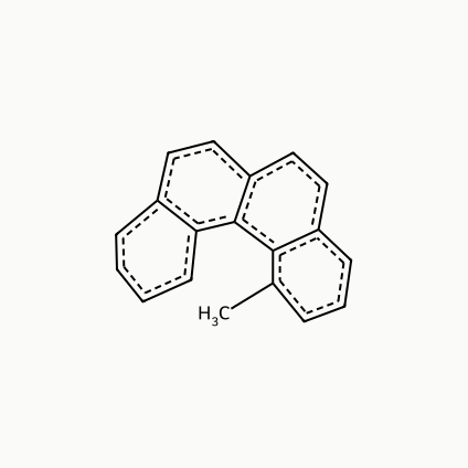 Cc1cccc2ccc3ccc4ccccc4c3c12